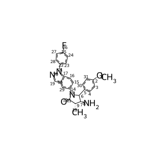 COc1ccc(C2[C@@H](N)[C@H](C)C(=O)N2c2ccc3c(cnn3-c3ccc(F)cc3)c2)cc1